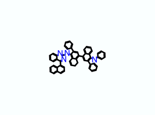 C1=Cc2c(c(-c3cc4c5ccccc5n(-c5ccccc5)c4c4ccccc34)cc3c4ccccc4n(-c4nc(-c5cccc6ccccc56)c5ccccc5n4)c23)CC1